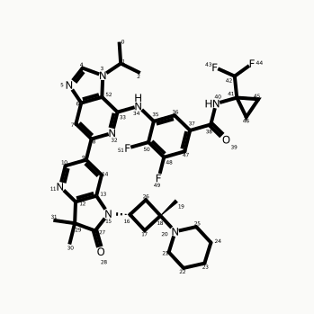 CC(C)n1cnc2cc(-c3cnc4c(c3)N([C@H]3C[C@@](C)(N5CCCCC5)C3)C(=O)C4(C)C)nc(Nc3cc(C(=O)NC4(C(F)F)CC4)cc(F)c3F)c21